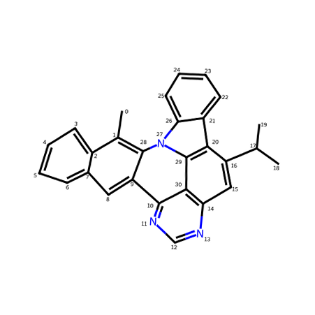 Cc1c2ccccc2cc2c3ncnc4cc(C(C)C)c5c6ccccc6n(c12)c5c43